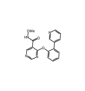 CONC(=O)c1cncnc1Oc1ccccc1-c1cccnc1